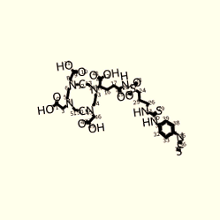 O=C(O)CN1CCN(CC(=O)O)CCN(C(CCC(=O)NS(=O)(=O)CCCNC(=S)Nc2ccc(N=C=S)cc2)C(=O)O)CCN(CC(=O)O)CC1